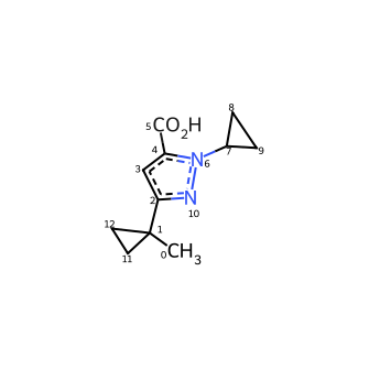 CC1(c2cc(C(=O)O)n(C3CC3)n2)CC1